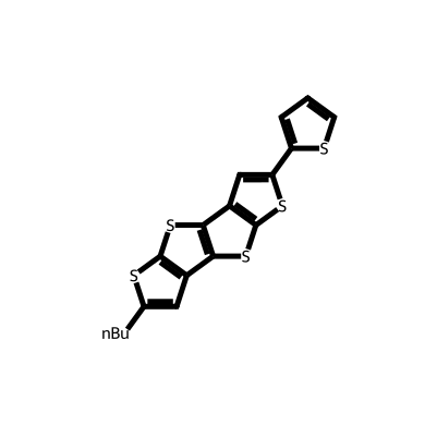 CCCCc1cc2c(s1)sc1c3cc(-c4cccs4)sc3sc21